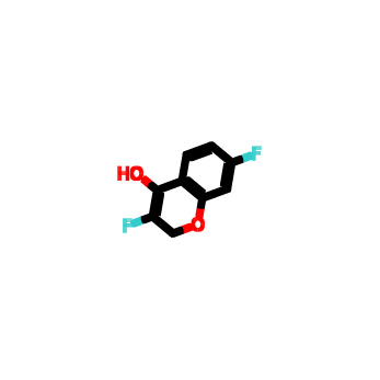 OC1=C(F)COc2cc(F)ccc21